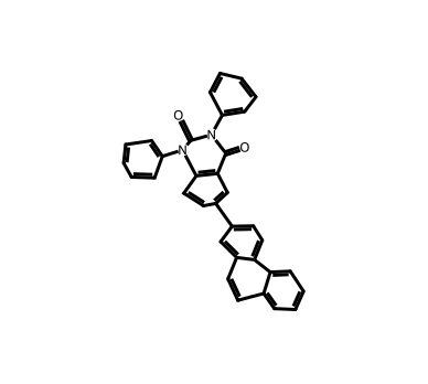 O=c1c2cc(-c3ccc4c(ccc5ccccc54)c3)ccc2n(-c2ccccc2)c(=O)n1-c1ccccc1